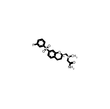 CN(CC(N)=O)C[C@H]1CCc2ccc(S(=O)(=O)c3cccc(F)c3)cc2O1